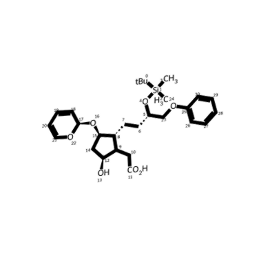 CC(C)(C)[Si](C)(C)O[C@@H](CC[C@@H]1C(CC(=O)O)[C@@H](O)C[C@H]1O[C@@H]1C=CC=CO1)COc1ccccc1